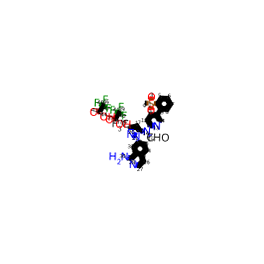 CS(=O)(=O)c1ccccc1-c1ccc(N(C=O)c2cc(C(F)(F)F)nn2-c2ccc3ccnc(N)c3c2)nc1.O=C(O)C(F)(F)F.O=C(O)C(F)(F)F